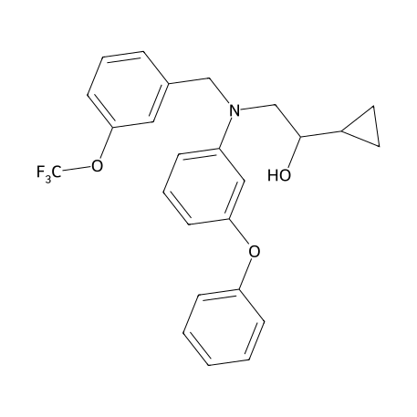 OC(CN(Cc1cccc(OC(F)(F)F)c1)c1cccc(Oc2ccccc2)c1)C1CC1